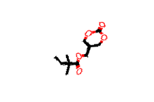 CCC(C)(C)C(=O)OCC1COC(=O)OC1